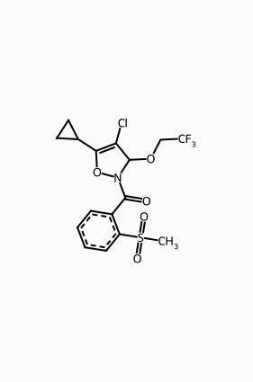 CS(=O)(=O)c1ccccc1C(=O)N1OC(C2CC2)=C(Cl)C1OCC(F)(F)F